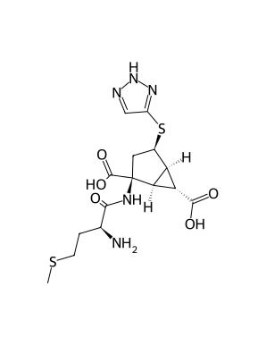 CSCC[C@H](N)C(=O)N[C@@]1(C(=O)O)C[C@@H](Sc2cn[nH]n2)[C@H]2[C@H](C(=O)O)[C@H]21